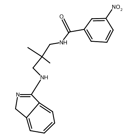 CC(C)(CNC(=O)c1cccc([N+](=O)[O-])c1)CNC1=NCc2ccccc21